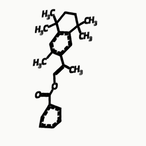 CC(=COC(=O)c1ccccc1)c1cc2c(cc1C)C(C)(C)CCC2(C)C